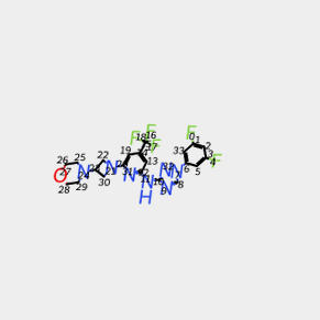 Fc1cc(F)cc(-n2cnc(Nc3cc(C(F)(F)F)cc(N4CC(N5CCOCC5)C4)n3)n2)c1